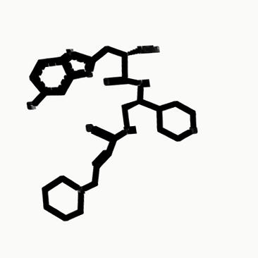 CC(=O)N[C@@H](Cc1nc2ccc(Cl)cc2s1)C(=O)N[C@H](CNC(=O)/C=C/CN1CCCCC1)C1CCOCC1